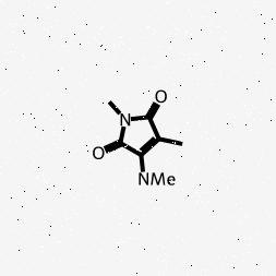 CNC1=C(C)C(=O)N(C)C1=O